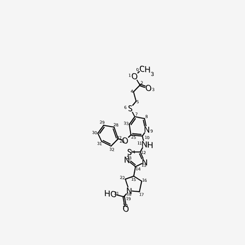 COC(=O)CCSc1cnc(Nc2nc(C3CCN(C(=O)O)C3)ns2)c(Oc2ccccc2)c1